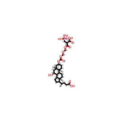 C[C@H](CCC(=O)O)C1CCC2C3C(CC[C@@]21C)[C@@]1(C)CC[C@@H](OC(=O)OCOCOC(=O)C(CP(=O)(O)O)C(=O)O)C[C@H]1C[C@@H]3O